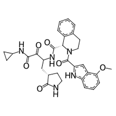 COc1cccc2[nH]c(C(=O)N3CCc4ccccc4[C@H]3C(=O)NC(C[C@@H]3CCNC3=O)C(=O)C(=O)NC3CC3)cc12